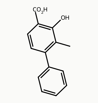 Cc1c(-c2ccccc2)ccc(C(=O)O)c1O